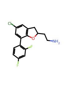 NCCC1Cc2cc(Cl)cc(-c3ccc(F)cc3F)c2O1